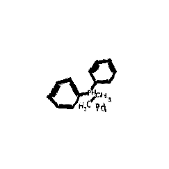 CC.[Pd].c1ccc(Pc2ccccc2)cc1